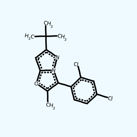 Cc1oc2cc(C(C)(C)C)nn2c1-c1ccc(Cl)cc1Cl